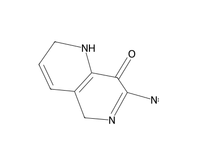 [N]C1=NCC2=C(NCC=C2)C1=O